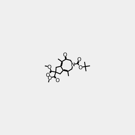 COC(=O)C1(C(=O)OC)CC2=C(\C)CN(C(=O)OC(C)(C)C)CC(=O)/C(C)=C\2C1